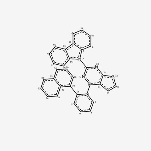 c1ccc(-c2nc(-n3c4ccccc4c4ccccc43)nc3sccc23)c(-c2cccc3ccccc23)c1